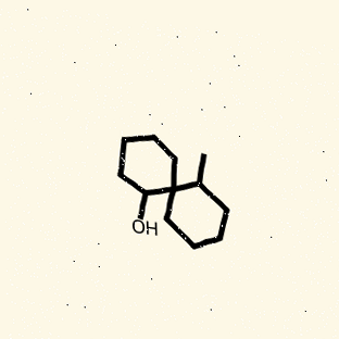 CC1CCCCC12CCCCC2O